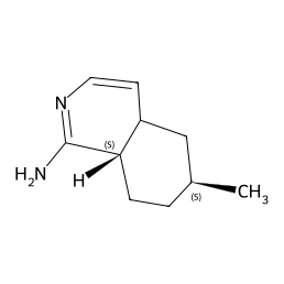 C[C@H]1CC[C@@H]2C(N)=NC=CC2C1